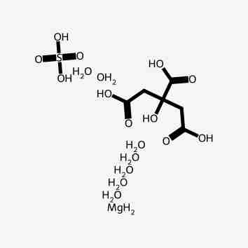 O.O.O.O.O.O.O.O=C(O)CC(O)(CC(=O)O)C(=O)O.O=S(=O)(O)O.[MgH2]